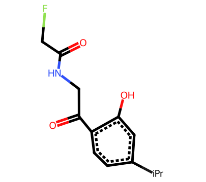 CC(C)c1ccc(C(=O)CNC(=O)CF)c(O)c1